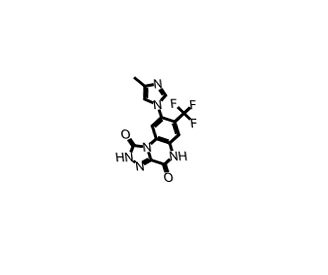 Cc1cn(-c2cc3c(cc2C(F)(F)F)[nH]c(=O)c2n[nH]c(=O)n23)cn1